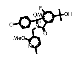 COc1nc(C)ccc1CN1C(=O)c2cc(C(C)(C)O)cc(F)c2[C@]1(OC)c1ccc(Cl)cc1